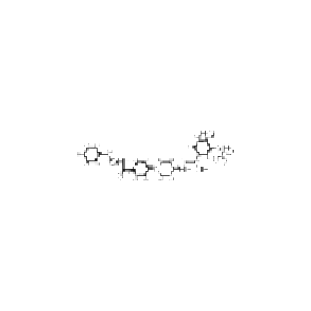 CS(=O)(=O)Nc1cc([C@@H](O)CNC2CCN(c3ccc(C(=O)NOCc4ccccc4)cc3)CC2)ccc1O